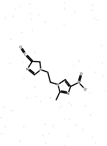 Cc1nc([N+](=O)[O-])cn1CCN1C=NC(=C=O)C1